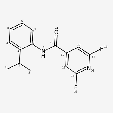 CC(C)c1ccccc1NC(=O)c1cc(F)nc(F)c1